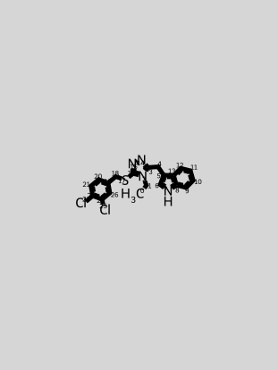 CCn1c(Cc2c[nH]c3ccccc23)nnc1SCc1ccc(Cl)c(Cl)c1